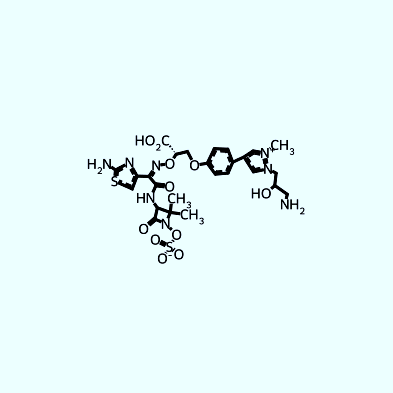 C[n+]1cc(-c2ccc(OC[C@H](O/N=C(\C(=O)NC3C(=O)N(OS(=O)(=O)[O-])C3(C)C)c3csc(N)n3)C(=O)O)cc2)cn1CC(O)CN